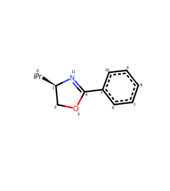 CC(C)[C@@H]1COC(c2ccccc2)=N1